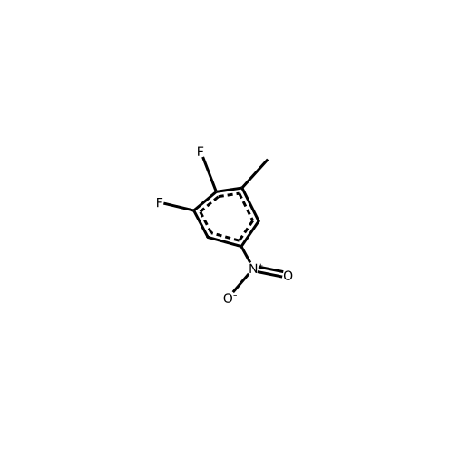 Cc1cc([N+](=O)[O-])cc(F)c1F